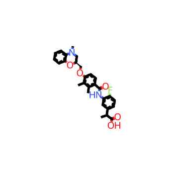 Cc1c(OC[C@@H]2CN(C)c3ccccc3O2)ccc(C(=O)Nc2cc(C(C)C(=O)O)ccc2F)c1C